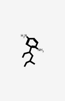 CCC(C)CC(CC)c1cc(N)ccc1N